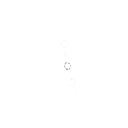 CCCCCCC[C@H]1CC[C@H](CCCOc2ccc(CC[C@H]3CC[C@H](CCC)CC3)cc2)CC1